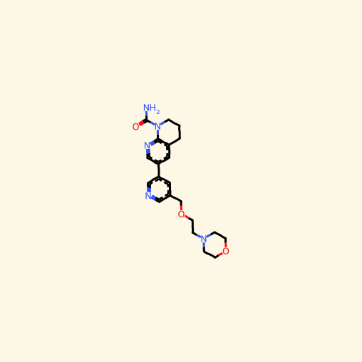 NC(=O)N1CCCc2cc(-c3cncc(COCCN4CCOCC4)c3)cnc21